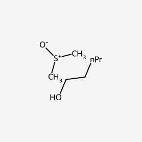 CCCCCO.C[S+](C)[O-]